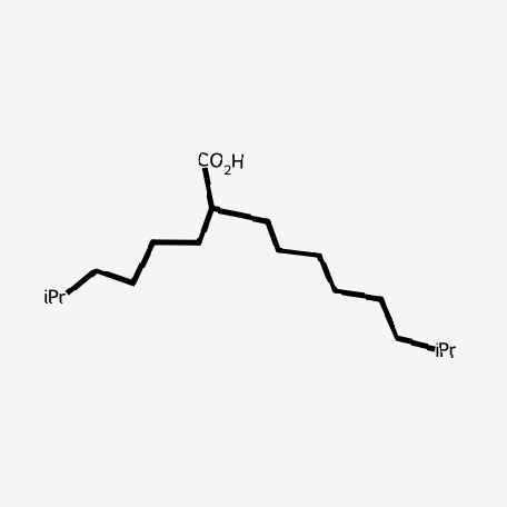 CC(C)CCCCCCC(CCCCC(C)C)C(=O)O